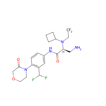 NC[C@@H](C(=O)Nc1ccc(N2CCOCC2=O)c(C(F)F)c1)N(CC(F)(F)F)C1CCC1